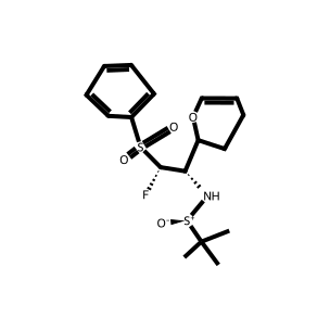 CC(C)(C)[S@@+]([O-])N[C@@H](C1CCC=CO1)[C@H](F)S(=O)(=O)c1ccccc1